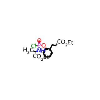 CCOC(=O)CCc1ccccc1OP(=O)(Cl)N[C@@H](C)C(=O)OCC